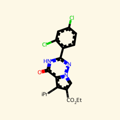 CCOC(=O)c1cn2nc(-c3ccc(Cl)cc3Cl)[nH]c(=O)c2c1C(C)C